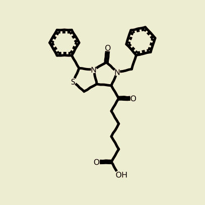 O=C(O)CCCCC(=O)C1C2CSC(c3ccccc3)N2C(=O)N1Cc1ccccc1